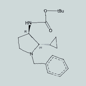 CC(C)(C)OC(=O)N[C@@H]1CCN(Cc2ccccc2)[C@H]1C1CC1